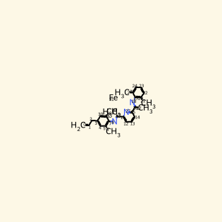 C=CCc1cc(C)c(N=C(C)c2cccc(C(C)=Nc3c(C)cccc3C)n2)c(C)c1.[Fe]